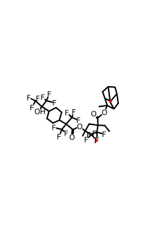 CCC(CC(C)(OC(=O)C(C1CCC(C(O)(C(F)(F)F)C(F)(F)F)CC1)(C(F)(F)F)C(F)(F)F)C(F)(F)F)(C(=O)OC1(C)C2CC3CC(C2)CC1C3)C(F)(F)F